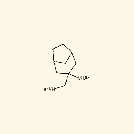 CC(=O)NCC1(NC(C)=O)CC2CCC(C2)C1